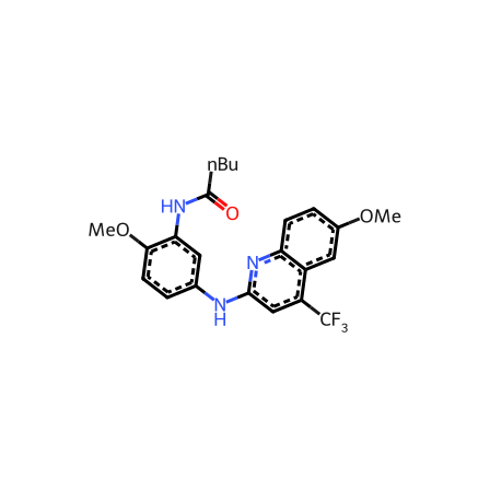 CCCCC(=O)Nc1cc(Nc2cc(C(F)(F)F)c3cc(OC)ccc3n2)ccc1OC